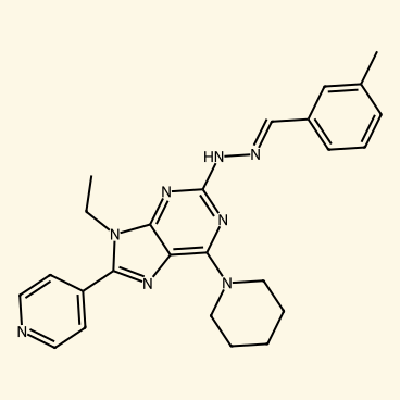 CCn1c(-c2ccncc2)nc2c(N3CCCCC3)nc(NN=Cc3cccc(C)c3)nc21